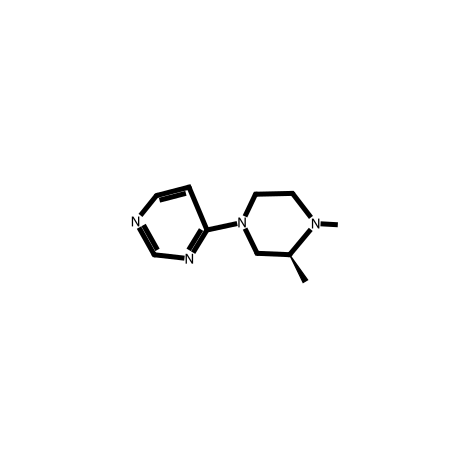 C[C@H]1CN(c2ccncn2)CCN1C